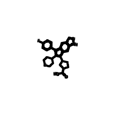 O=C(O)C1CCC(c2c(C3CCOCC3)n(-c3ccc(F)cc3)c3cc4cn[nH]c4cc23)C1